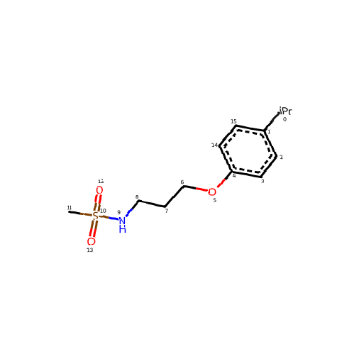 CC(C)c1ccc(OCCCNS(C)(=O)=O)cc1